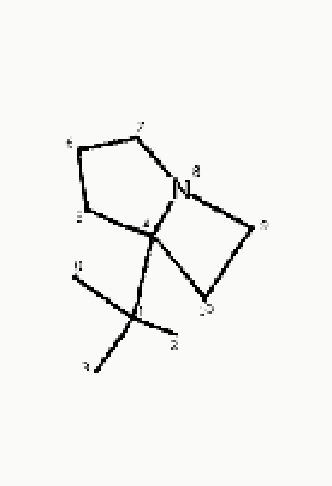 CC(C)(C)C12CCCN1CC2